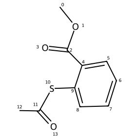 COC(=O)c1ccccc1SC(C)=O